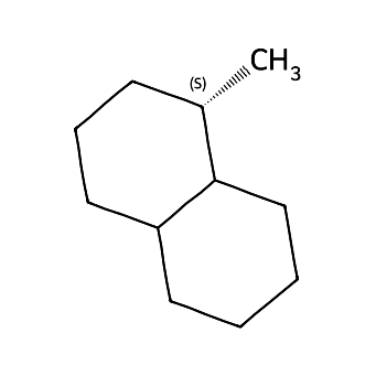 C[C@H]1CCCC2CCCCC21